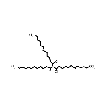 ClC(CCCCCCCCCCC(Cl)(Cl)Cl)N(C(Cl)CCCCCCCCCCC(Cl)(Cl)Cl)C(Cl)CCCCCCCCCCC(Cl)(Cl)Cl